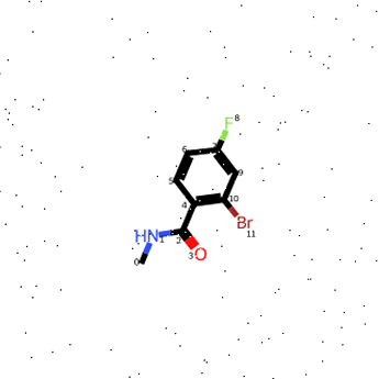 CNC(=O)c1ccc(F)cc1Br